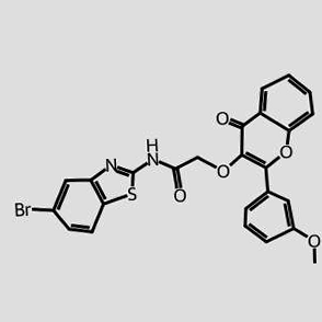 COc1cccc(-c2oc3ccccc3c(=O)c2OCC(=O)Nc2nc3cc(Br)ccc3s2)c1